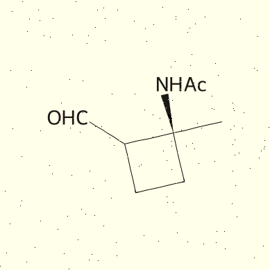 CC(=O)N[C@@]1(C)CCC1C=O